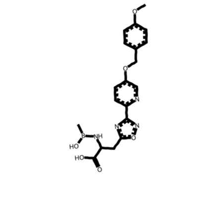 COc1ccc(COc2ccc(-c3noc(CC(NB(C)O)C(=O)O)n3)nc2)cc1